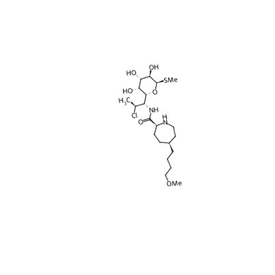 COCCCC[C@@H]1CCN[C@H](C(=O)N[C@@H]([C@H]2O[C@H](SC)[C@H](O)[C@@H](O)[C@H]2O)[C@H](C)Cl)CC1